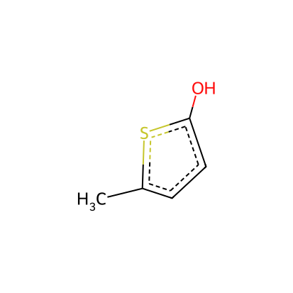 Cc1ccc(O)s1